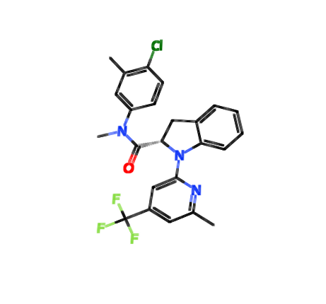 Cc1cc(C(F)(F)F)cc(N2c3ccccc3C[C@H]2C(=O)N(C)c2ccc(Cl)c(C)c2)n1